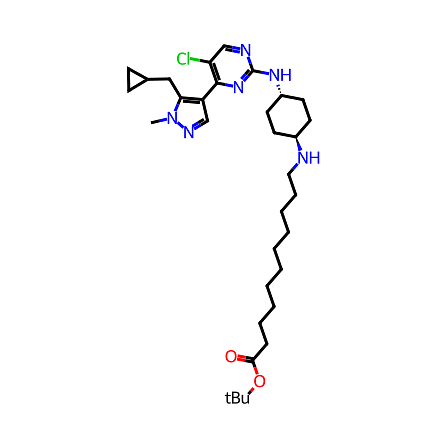 Cn1ncc(-c2nc(N[C@H]3CC[C@H](NCCCCCCCCCCC(=O)OC(C)(C)C)CC3)ncc2Cl)c1CC1CC1